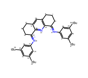 CC(C)(C)c1cc(/N=C2\CCCc3cc4c(nc32)/C(=N/c2cc(C(C)(C)C)cc(C(C)(C)C)c2)CCC4)cc(C(C)(C)C)c1